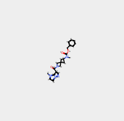 CN(C(=O)OCc1ccccc1)C1CC2(C1)CN(C(=O)c1cnn3ccn(C)c13)C2